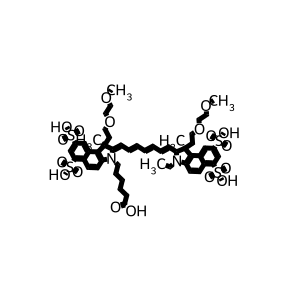 CCN1c2ccc3c(S(=O)(=O)O)cc(S(=O)(=O)O)cc3c2C(C)(CCOCCOC)C1C=CC=CC=CC=C1N(CCCCCC(=O)O)c2ccc3c(S(=O)(=O)O)cc(S(=O)(=O)O)cc3c2C1(C)CCOCCOC